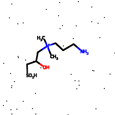 C[N+](C)(CCCN)CC(O)CS(=O)(=O)O